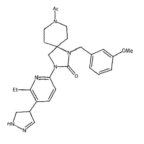 CCc1nc(N2CC3(CCN(C(C)=O)CC3)N(Cc3cccc(OC)c3)C2=O)ccc1C1C=NNC1